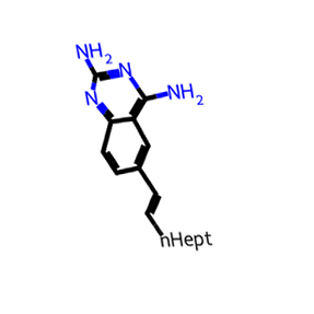 CCCCCCC/C=C/c1ccc2nc(N)nc(N)c2c1